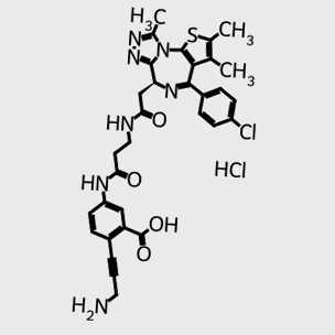 Cc1sc2c(c1C)C(c1ccc(Cl)cc1)=N[C@@H](CC(=O)NCCC(=O)Nc1ccc(C#CCN)c(C(=O)O)c1)c1nnc(C)n1-2.Cl